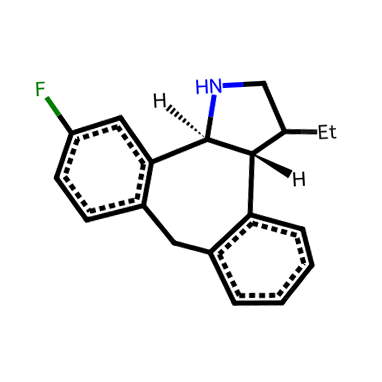 CCC1CN[C@@H]2c3cc(F)ccc3Cc3ccccc3[C@@H]12